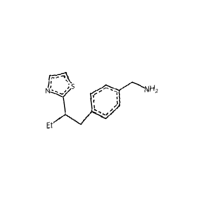 CCC(Cc1ccc(CN)cc1)c1nccs1